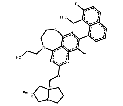 CCc1c(F)ccc2cccc(-c3nc4c5c(nc(OC[C@@]67CCCN6C[C@H](F)C7)nc5c3F)N(CCO)CCO4)c12